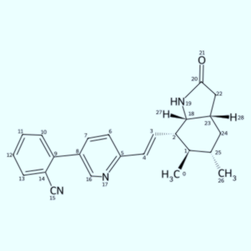 C[C@H]1[C@H](/C=C/c2ccc(-c3ccccc3C#N)cn2)[C@@H]2NC(=O)C[C@@H]2C[C@@H]1C